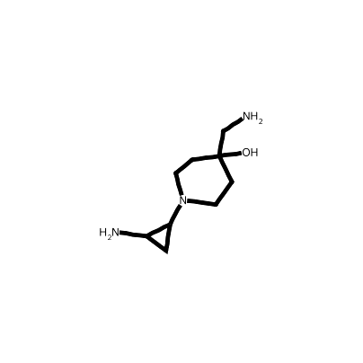 NCC1(O)CCN(C2CC2N)CC1